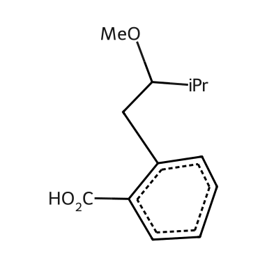 COC(Cc1ccccc1C(=O)O)C(C)C